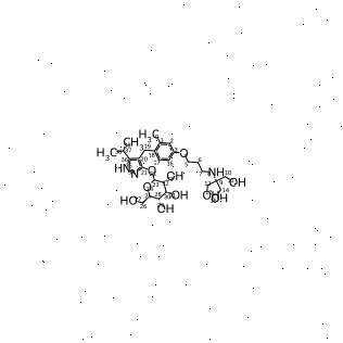 Cc1cc(OCCCNC(CO)(CO)CO)ccc1Cc1c(O[C@@H]2O[C@H](CO)[C@@H](O)[C@H](O)[C@H]2O)n[nH]c1C(C)C